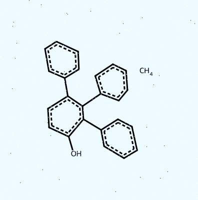 C.Oc1ccc(-c2ccccc2)c(-c2ccccc2)c1-c1ccccc1